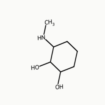 CNC1CCCC(O)C1O